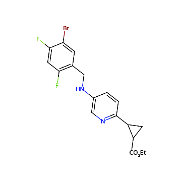 CCOC(=O)C1CC1c1ccc(NCc2cc(Br)c(F)cc2F)cn1